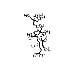 C=CC(=O)OC.O=C([O-])CCCCCC(=O)[O-].OCC(CO)(CO)COCC(CO)(CO)CO.[Ca+2]